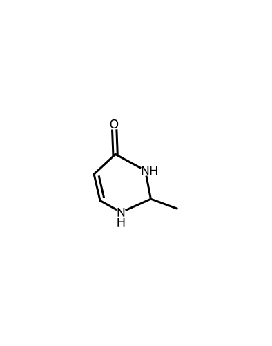 CC1NC=CC(=O)N1